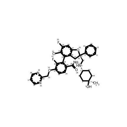 C[C@]1(O)CC[C@H](NC[C@@]2(c3ccccc3)Cc3c(cc(F)c(Cl)c3-c3c(C(N)=O)ccc(OCc4ncccn4)c3F)O2)CC1